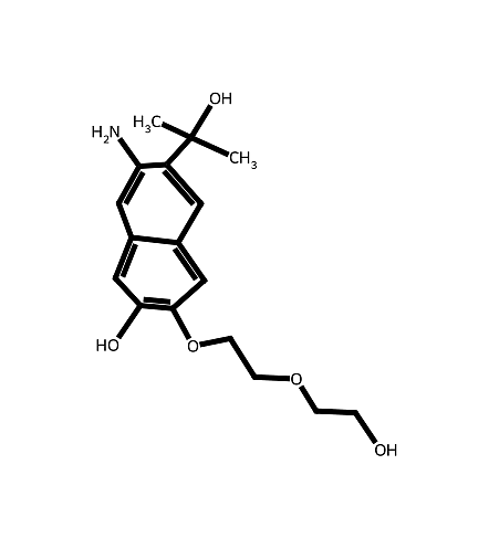 CC(C)(O)c1cc2cc(OCCOCCO)c(O)cc2cc1N